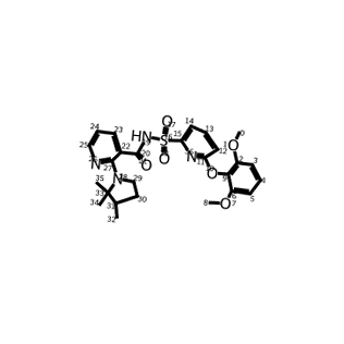 COc1cccc(OC)c1Oc1cccc(S(=O)(=O)NC(=O)c2cccnc2N2CCC(C)C2(C)C)n1